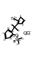 CC(C)(C1=[C]([Ti+2])CC=C1)c1ccccc1O[Si](C)(C)C.[Cl-].[Cl-]